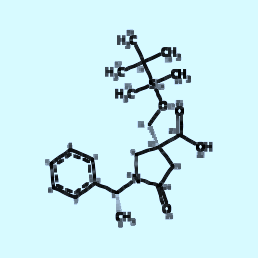 C[C@H](c1ccccc1)N1C[C@@](CO[Si](C)(C)C(C)(C)C)(C(=O)O)CC1=O